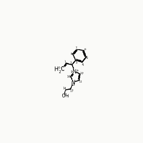 C=CC(c1ccccc1)[n+]1ccn(CCO)c1